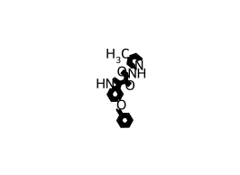 Cc1ccnc(NC(=O)C(=O)c2c[nH]c3ccc(OCc4ccccc4)cc23)c1